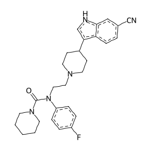 N#Cc1ccc2c(C3CCN(CCN(C(=O)N4CCCCC4)c4ccc(F)cc4)CC3)c[nH]c2c1